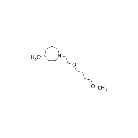 COCCCCOCCN1CCCC(C)CC1